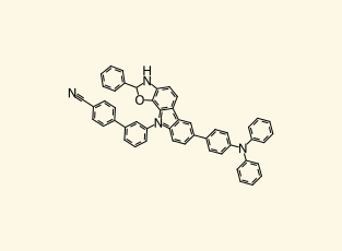 N#Cc1ccc(-c2cccc(-n3c4ccc(-c5ccc(N(c6ccccc6)c6ccccc6)cc5)cc4c4ccc5c(c43)OC(c3ccccc3)N5)c2)cc1